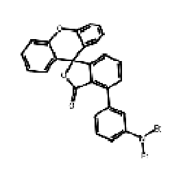 CCN(CC)c1cccc(-c2cccc3c2C(=O)OC32c3ccccc3Oc3ccccc32)c1